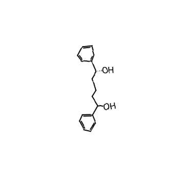 OC(CCC[C@@H](O)c1ccccc1)c1ccccc1